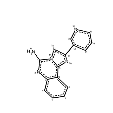 Nc1nc2ccccc2c2nc(-c3cccnc3)nn12